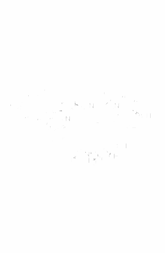 C[C@@H]1CN(C(=O)[C@H]2/C(F)=C/C[C@H](C)[C@@H](C)S(=O)(=O)NC(=O)c3ccc4c(c3)N(C[C@@H]3CCCN32)C[C@@]2(CCCc3cc(Cl)ccc32)CO4)CCN1C